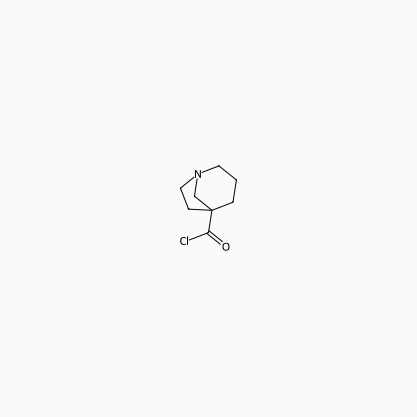 O=C(Cl)C12CCCN(CC1)C2